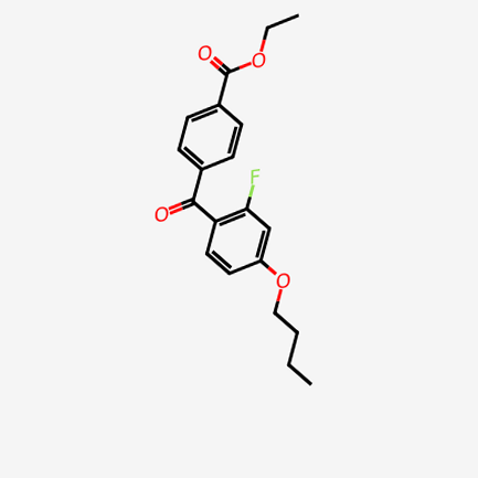 CCCCOc1ccc(C(=O)c2ccc(C(=O)OCC)cc2)c(F)c1